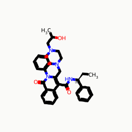 CC[C@H](NC(=O)c1c(CN2CCN(CC(C)O)CC2)n(-c2ccccc2)c(=O)c2ccccc12)c1ccccc1